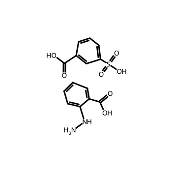 NNc1ccccc1C(=O)O.O=C(O)c1cccc(S(=O)(=O)O)c1